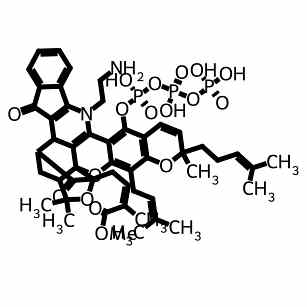 COC(=O)/C(C)=C\CC12OC(C)(C)C3CC(C1=O)C1C4=C(c5ccccc5C4=O)N(CCN)C4=C1C32Oc1c(CC=C(C)C)c2c(c(OP(=O)(O)OP(=O)(O)OP(=O)(O)O)c14)C=CC(C)(CCC=C(C)C)O2